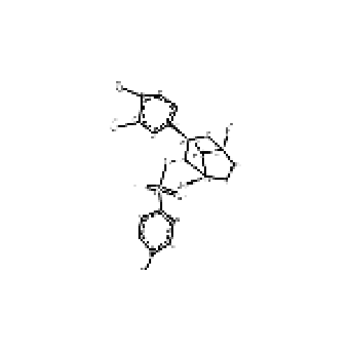 Cc1ccc(S(=O)(=O)C[C@@H]2[C@@H](c3ccc(Cl)c(Cl)c3)C[C@@H]3CC[C@H]2N3C)cc1